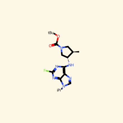 CC(C)n1cnc2c(N[C@@H]3CN(C(=O)OC(C)(C)C)C[C@H]3C)nc(F)nc21